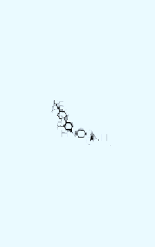 NC(=O)OC1CCC(Nc2ccc(N3CCC(C(F)(F)F)CC3)c(F)c2)CC1